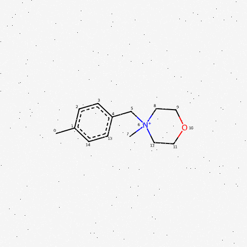 Cc1ccc(C[N+]2(C)CCOCC2)cc1